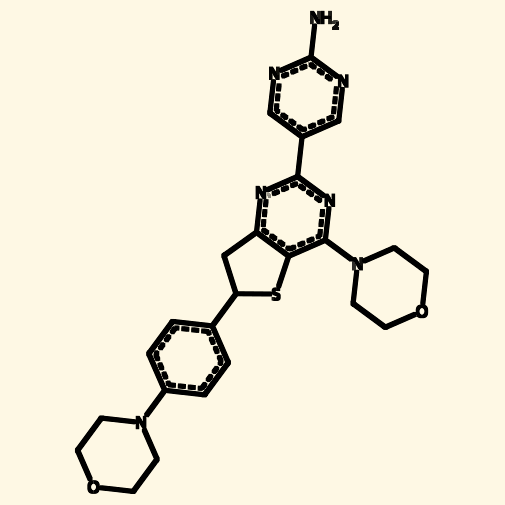 Nc1ncc(-c2nc3c(c(N4CCOCC4)n2)SC(c2ccc(N4CCOCC4)cc2)C3)cn1